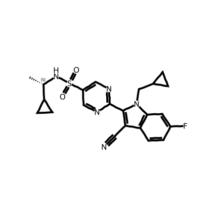 C[C@H](NS(=O)(=O)c1cnc(-c2c(C#N)c3ccc(F)cc3n2CC2CC2)nc1)C1CC1